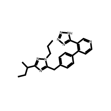 CCCn1nc(C(C)CC)nc1Cc1ccc(-c2ccncc2-c2nnn[nH]2)cc1